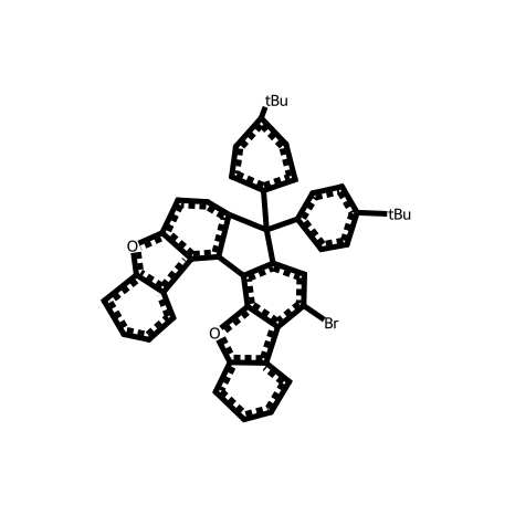 CC(C)(C)c1ccc(C2(c3ccc(C(C)(C)C)cc3)c3cc(Br)c4c(oc5ccccc54)c3-c3c2ccc2oc4ccccc4c32)cc1